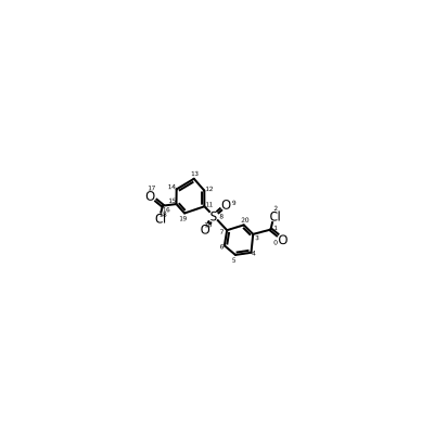 O=C(Cl)c1cccc(S(=O)(=O)c2cccc(C(=O)Cl)c2)c1